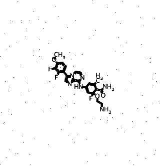 COc1ccc(-c2cnc3c(NC4=CC(F)(OCCN)C(C(N)=O)C(C)=C4)nccn23)c(F)c1F